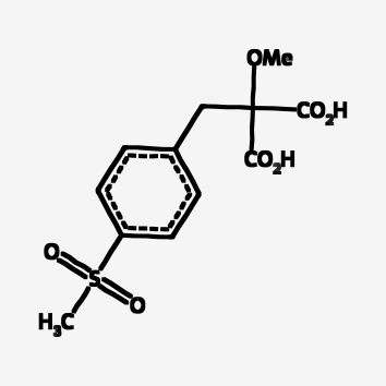 COC(Cc1ccc(S(C)(=O)=O)cc1)(C(=O)O)C(=O)O